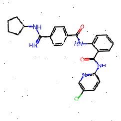 N=C(NC1CCCC1)c1ccc(C(=O)Nc2ccccc2C(=O)Nc2ccc(Cl)cn2)cc1